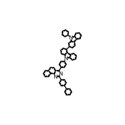 c1ccc(-c2ccc(-c3nc(-c4ccc(-n5c6ccccc6c6c(-c7ccc8c9ccccc9n(-c9ccccc9)c8c7)cccc65)cc4)c4ccc5ccccc5c4n3)cc2)cc1